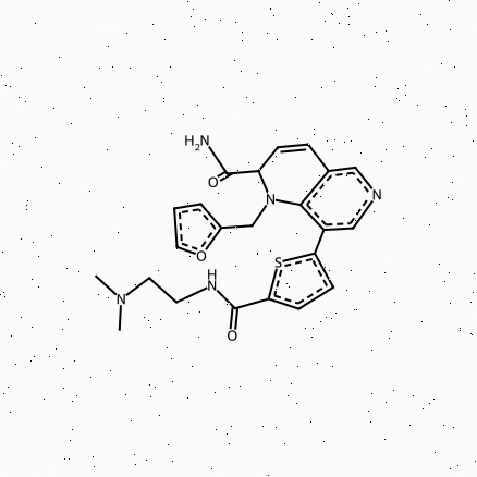 CN(C)CCNC(=O)c1ccc(-c2cncc3c2N(Cc2ccco2)C(C(N)=O)C=C3)s1